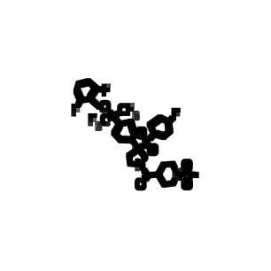 CS(=O)(=O)N1CCC(C(=O)N2CC[C@](c3ccc(C(OCc4c(F)cccc4F)(C(F)(F)F)C(F)(F)F)cc3)(S(=O)(=O)c3ccc(F)cc3)C2)CC1